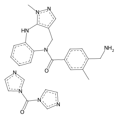 Cc1cc(C(=O)N2Cc3cnn(C)c3Nc3ccccc32)ccc1CN.O=C(n1ccnc1)n1ccnc1